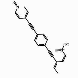 C=N/C=C\C(C#Cc1ccc(C#CC(/C=C\[N+](=C)CCC)=C/C)cc1)=C/C